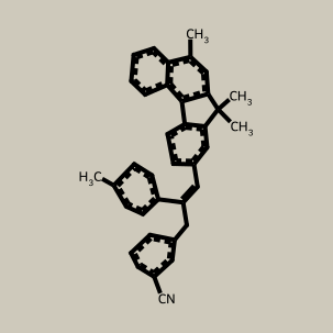 Cc1ccc(/C(=C\c2ccc3c(c2)C(C)(C)c2cc(C)c4ccccc4c2-3)Cc2cccc(C#N)c2)cc1